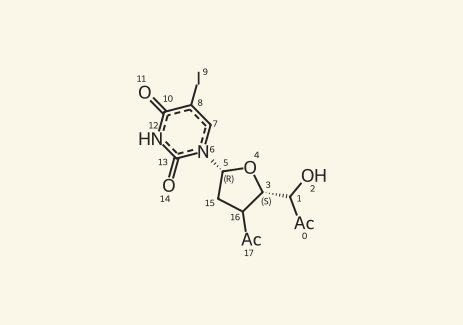 CC(=O)C(O)[C@H]1O[C@@H](n2cc(I)c(=O)[nH]c2=O)CC1C(C)=O